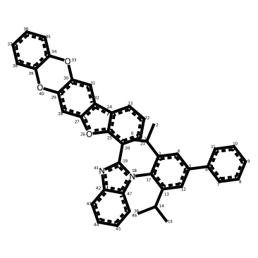 CC(C)c1cc(-c2ccccc2)cc(C(C)C)c1-n1c(-c2cccc3c2oc2cc4c(cc23)Oc2ccccc2O4)nc2ccccc21